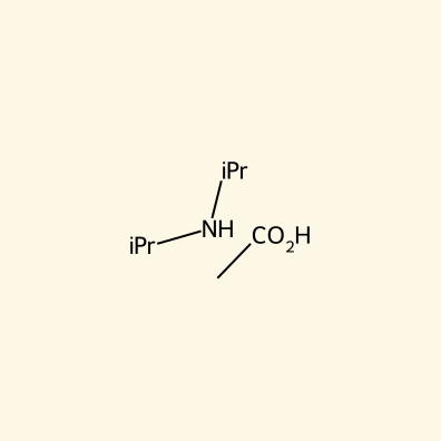 CC(=O)O.CC(C)NC(C)C